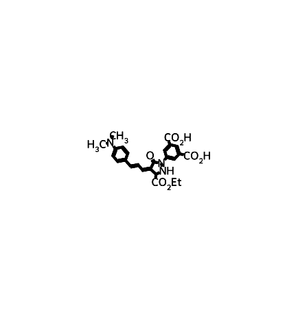 CCOC(=O)C1NN(c2cc(C(=O)O)cc(C(=O)O)c2)C(=O)C1=CC=Cc1ccc(N(C)C)cc1